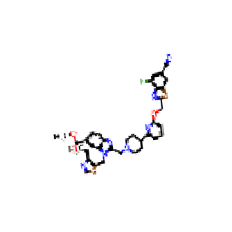 C=Cc1ncsc1Cn1c(CN2CCC(c3cccc(OCc4nc5c(F)cc(C#N)cc5s4)n3)CC2)nc2ccc(C(=O)OC)cc21